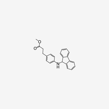 COC(=O)CCc1ccc(NC2c3ccccc3-c3ccccc32)cc1